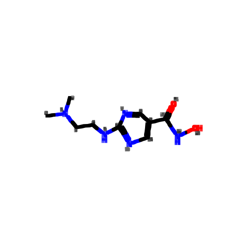 CN(C)CCNc1ncc(C(=O)NO)cn1